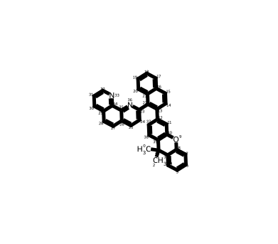 CC1(C)c2ccccc2Oc2cc(-c3ccc4ccccc4c3-c3ccc4ccc5cccnc5c4n3)ccc21